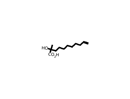 C=CCCCCCCCC(C)(O)C(=O)O